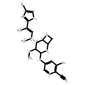 COC1C(Sc2cnc(C#N)c(Cl)c2)OC2COC2[C@H]1N(N)/C=C(\N)c1nc(Cl)cs1